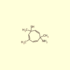 CC1=C/C(C)(S)/C=C\C(C)(N)/C=C\1